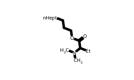 CCCCCCCCCCOC(=O)C(CC)N(C)C